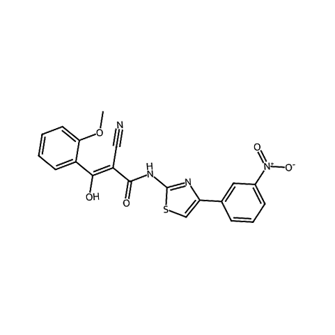 COc1ccccc1C(O)=C(C#N)C(=O)Nc1nc(-c2cccc([N+](=O)[O-])c2)cs1